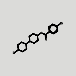 CCC1CCC(C2CCC(OC(=O)c3ccc(C#N)cc3)CC2)CC1